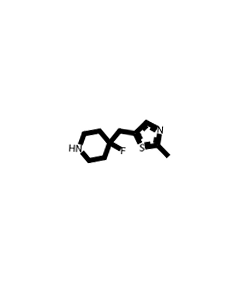 Cc1ncc(CC2(F)CCNCC2)s1